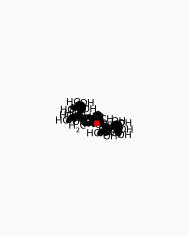 C=C1CC2CCC3[C@](C)(C(=O)OC4OC(CO)C(O)C(O)C4OC4OC(CO)C(O)C(O)C4O)CCC[C@@]3(C)[C@@H]2CCC1CC(OC1OC(CO)C(O)C(O)C1O)C(O)C(O)C(O)CO